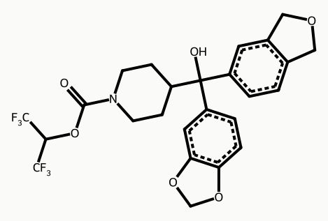 O=C(OC(C(F)(F)F)C(F)(F)F)N1CCC(C(O)(c2ccc3c(c2)COC3)c2ccc3c(c2)OCO3)CC1